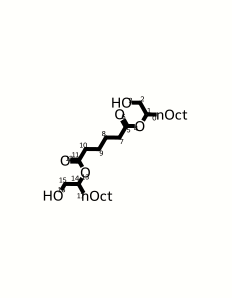 CCCCCCCCC(CO)OC(=O)CCCCC(=O)OC(CO)CCCCCCCC